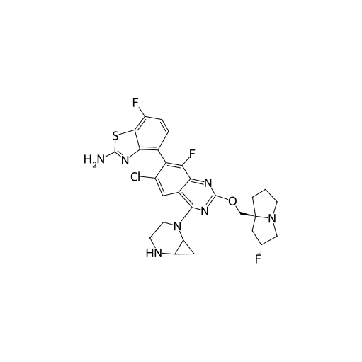 Nc1nc2c(-c3c(Cl)cc4c(N5CCNC6CC65)nc(OC[C@@]56CCCN5C[C@H](F)C6)nc4c3F)ccc(F)c2s1